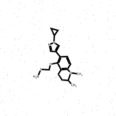 CC1CCc2c(ccc(-c3cnn(C4CC4)c3)c2OCSN)N1C